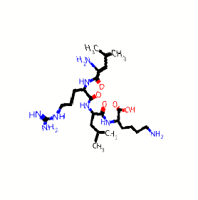 CC(C)CC(N)C(=O)NC(CCCNC(=N)N)C(=O)NC(CC(C)C)C(=O)NC(CCCCN)C(=O)O